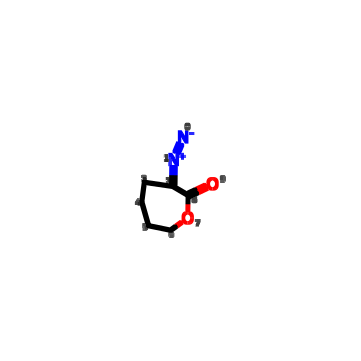 [N-]=[N+]=C1CCCCOC1=O